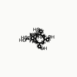 OCC(O)COc1c(F)c(F)c(-c2c3nc(c(-c4cccc(O)c4)c4ccc([nH]4)c(-c4cccc(O)c4)c4nc(c(-c5cccc(O)c5)c5ccc2[nH]5)C=C4)[C@H](O)[C@@H]3O)c(F)c1F